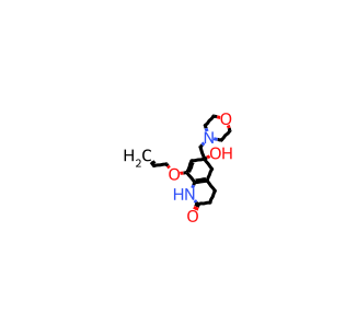 C=CCOC1=CC(O)(CN2CCOCC2)CC2=C1NC(=O)CC2